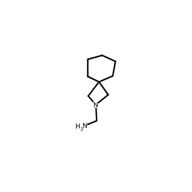 NCN1CC2(CCCCC2)C1